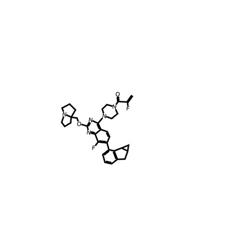 C=C(F)C(=O)N1CCN(c2nc(OCC34CCCN3CCC4)nc3c(F)c(-c4cccc5c4C4CC4C5)ccc23)CC1